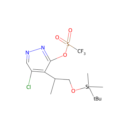 CC(CO[Si](C)(C)C(C)(C)C)c1c(Cl)cnnc1OS(=O)(=O)C(F)(F)F